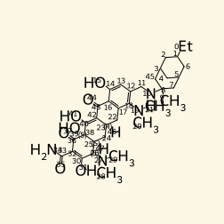 CCC1CC2CC(C1)CC(C)(NCc1cc(O)c3c(c1N(C)C)C[C@H]1C[C@H]4[C@H](N(C)C)C(O)=C(C(N)=O)C(=O)[C@@]4(O)C(O)=C1C3=O)C2